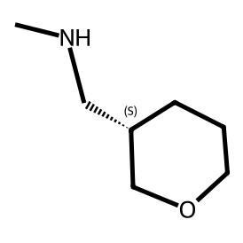 CNC[C@@H]1CCCOC1